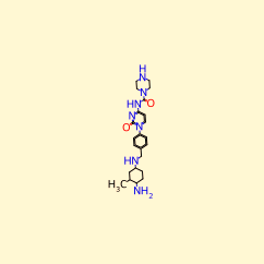 CC1CC(NCc2ccc(-n3ccc(NC(=O)N4CCNCC4)nc3=O)cc2)CCC1N